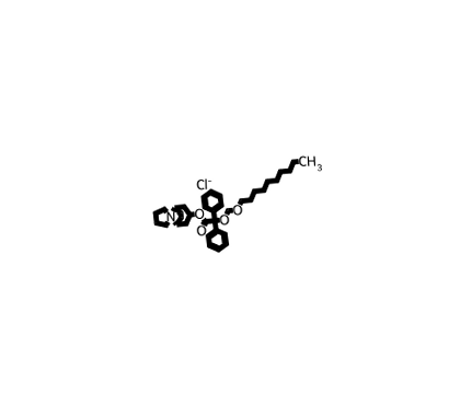 CCCCCCCCCCOCOC(C(=O)OC1CC2CCC(C1)[N+]21CCCC1)(c1ccccc1)c1ccccc1.[Cl-]